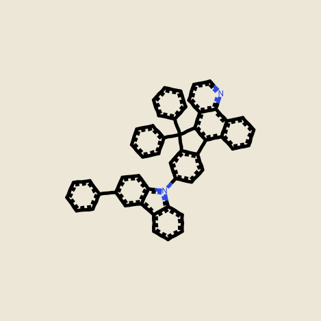 c1ccc(-c2ccc3c(c2)c2ccccc2n3-c2ccc3c(c2)C(c2ccccc2)(c2ccccc2)c2c-3c3ccccc3c3ncccc23)cc1